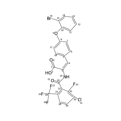 O=C(O)/C(=C\c1ccc(Oc2ccccc2Br)cc1)NC(=O)c1c(C(F)(F)F)ccc(Cl)c1F